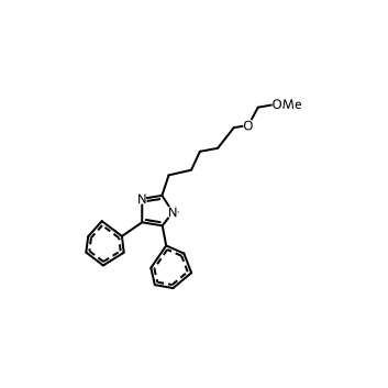 COCOCCCCCC1=NC(c2ccccc2)=C(c2ccccc2)[N]1